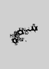 O=C(C=Cc1cccnc1)Nc1ccc(S(=O)(=O)Nc2ccccc2OC(F)(F)F)cc1